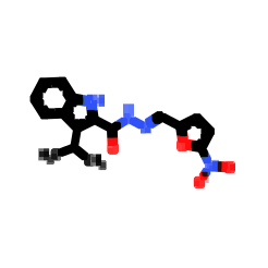 CC(C)c1c(C(=O)NN=Cc2ccc([N+](=O)[O-])o2)[nH]c2ccccc12